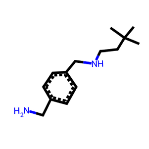 CC(C)(C)CCNCc1ccc(CN)cc1